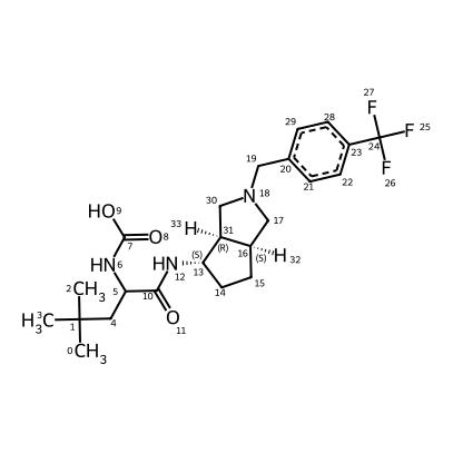 CC(C)(C)CC(NC(=O)O)C(=O)N[C@H]1CC[C@@H]2CN(Cc3ccc(C(F)(F)F)cc3)C[C@@H]21